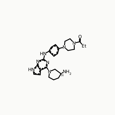 CCC(=O)N1CCN(c2ccc(Nc3nc(N4CCC[C@H](N)C4)c4cc[nH]c4n3)cc2)CC1